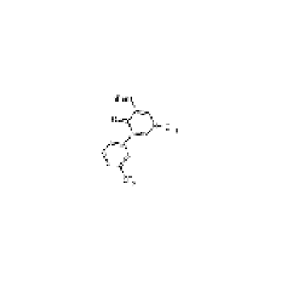 CCCCCc1cn(C)cc(-c2cccc(C(F)(F)F)c2)c1=O